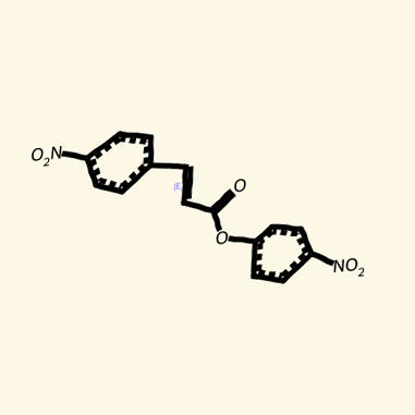 O=C(/C=C/c1ccc([N+](=O)[O-])cc1)Oc1ccc([N+](=O)[O-])cc1